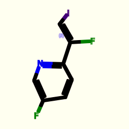 F/C(=C\I)c1ccc(F)cn1